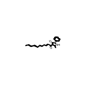 CCCCCCCCC=CC(=O)c1c(C)[nH]n(-c2ccccc2)c1=O